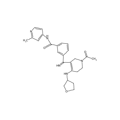 CC(=O)N1CCC(NC2CCOC2)=C(C(=N)c2cccc(C(=O)Nc3ccnc(C)c3)c2)C1